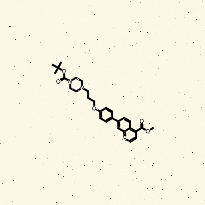 COC(=O)c1ccnc2cc(-c3ccc(OCCCN4CCN(C(=O)OC(C)(C)C)CC4)cc3)ccc12